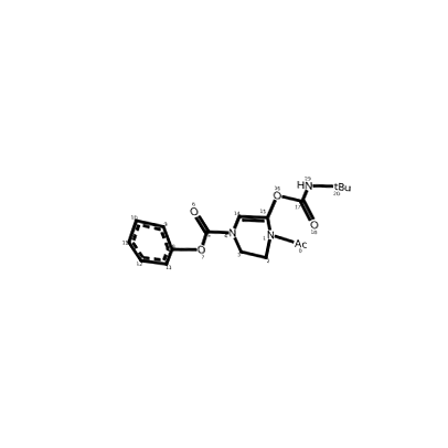 CC(=O)N1CCN(C(=O)Oc2ccccc2)C=C1OC(=O)NC(C)(C)C